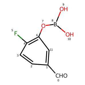 O=Cc1ccc(F)c(OB(O)O)c1